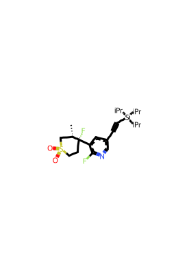 CC(C)[Si](C#Cc1cnc(F)c([C@@]2(F)CCS(=O)(=O)C[C@@H]2C)c1)(C(C)C)C(C)C